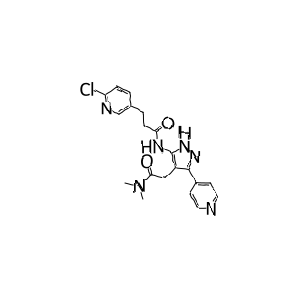 CN(C)C(=O)Cc1c(-c2ccncc2)n[nH]c1NC(=O)CCc1ccc(Cl)nc1